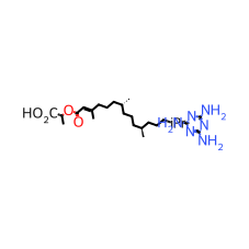 C/C(=C\C(=O)OC(C)C(=O)O)CCC[C@H](C)CCC[C@H](C)CCCC(C)C.Nc1nc(N)nc(N)n1